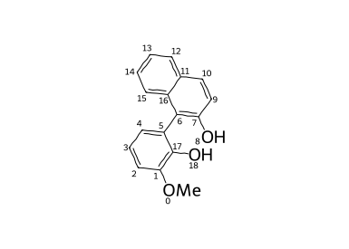 COc1cccc(-c2c(O)ccc3ccccc23)c1O